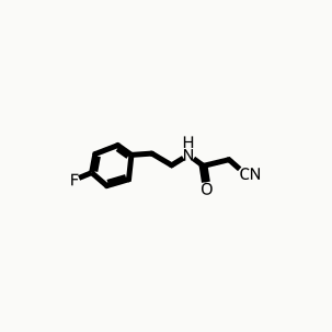 N#CCC(=O)NCCc1ccc(F)cc1